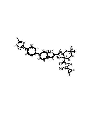 Cc1noc(-c2ccc(-c3ccc4cc(C(=O)NC5(C(=O)NC6(C#N)CC6)CCC(F)(F)CC5)oc4c3)cc2)n1